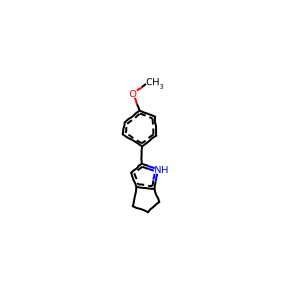 COc1ccc(-c2cc3c([nH]2)CCC3)cc1